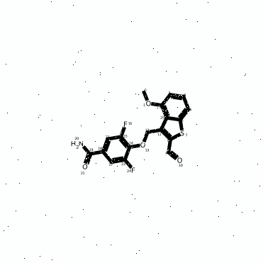 COc1cccc2sc(C=O)c(COc3c(F)cc(C(N)=O)cc3F)c12